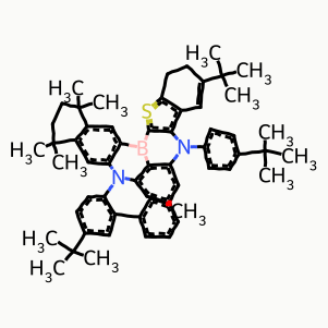 Cc1cc2c3c(c1)N(c1ccc(C(C)(C)C)cc1)c1c(sc4c1C=C(C(C)(C)C)CC4)B3c1cc3c(cc1N2c1ccc(C(C)(C)C)cc1-c1ccccc1)C(C)(C)CCC3(C)C